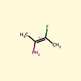 C/C(F)=C(/C)P